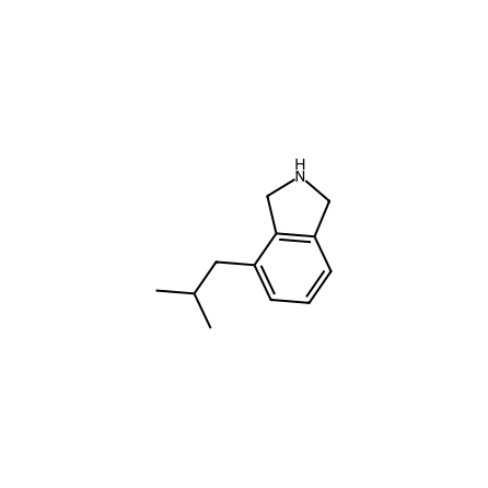 CC(C)Cc1cccc2c1CNC2